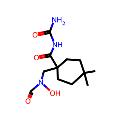 CC1(C)CCC(CN(O)C=O)(C(=O)NC(N)=O)CC1